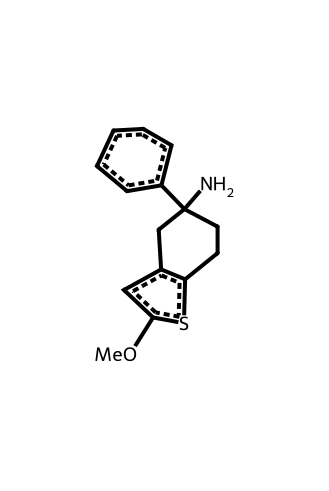 COc1cc2c(s1)CCC(N)(c1ccccc1)C2